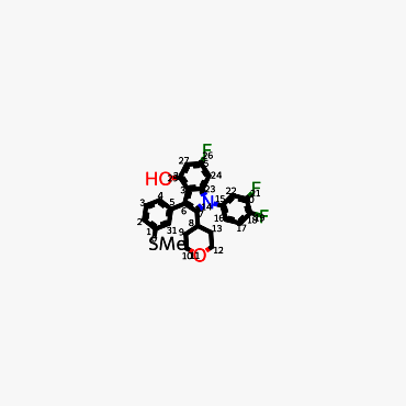 CSc1cccc(-c2c(C3CCOCC3)n(-c3ccc(F)c(F)c3)c3cc(F)cc(O)c23)c1